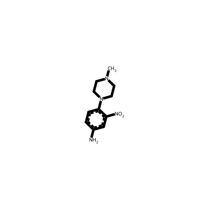 CN1CCN(c2ccc(N)cc2[N+](=O)[O-])CC1